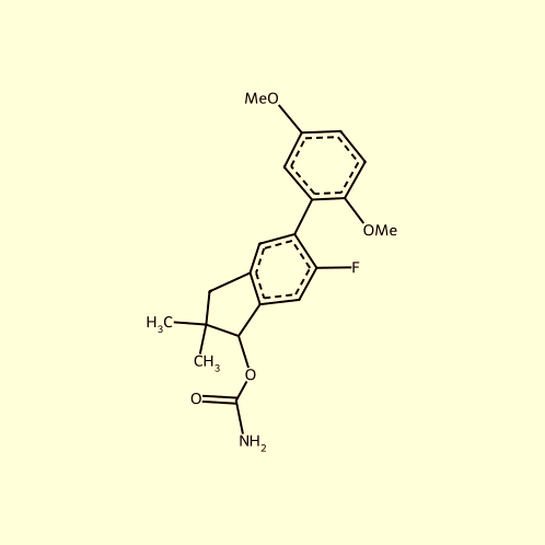 COc1ccc(OC)c(-c2cc3c(cc2F)C(OC(N)=O)C(C)(C)C3)c1